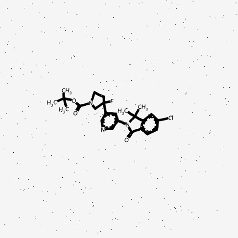 CC(C)(C)OC(=O)N1CCC(F)(c2cncc(N3C(=O)c4ccc(Cl)cc4C3(C)C)c2)C1